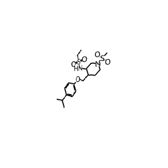 CCS(=O)(=O)NC1CN(S(C)(=O)=O)CCC1COc1ccc(C(C)C)cc1